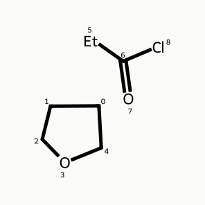 C1CCOC1.CCC(=O)Cl